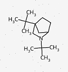 CC(C)(C)N1CC2(C(C)(C)C)CCC1C2